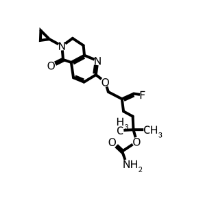 CC(C)(CCC(=CF)COc1ccc2c(n1)CCN(C1CC1)C2=O)OC(N)=O